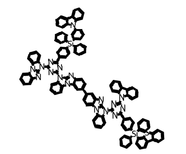 c1ccc([Si](c2ccccc2)(c2ccc(-c3nc(-n4c5ccccc5n5c6ccccc6nc45)nc(-n4c5ccccc5n5c6cc(-c7ccc8c(c7)nc7n(-c9nc(-c%10ccc([Si](c%11ccccc%11)(c%11ccccc%11)c%11cccc%12c%11sc%11ccccc%11%12)cc%10)nc(-n%10c%11ccccc%11c%11ccccc%11%10)n9)c9ccccc9n87)ccc6nc45)n3)cc2)c2cccc(-n3c4ccccc4c4ccccc43)c2)cc1